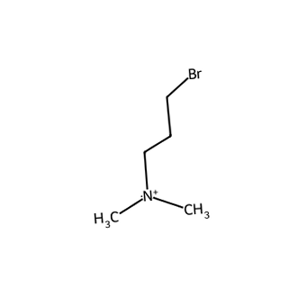 C[N+](C)CCCBr